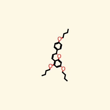 CCCCOc1ccc(C2C=Cc3c(OCCCC)cc(OCCCC)cc3O2)cc1